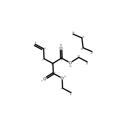 C=CCC(C(=O)OCC)C(=O)OCC.CCCC